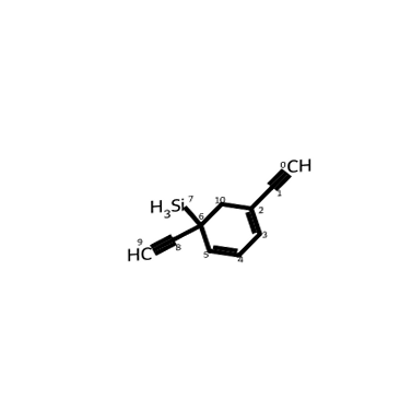 C#CC1=CC=CC([SiH3])(C#C)C1